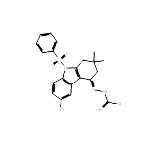 CC(C)c1ccc2c(c1)c1c(n2S(=O)(=O)c2ccccc2)CC(C)(C)C/C1=N\NC(=N)N